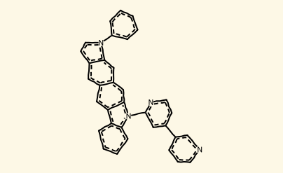 c1ccc(-n2ccc3cc4cc5c6ccccc6n(-c6cc(-c7cccnc7)ccn6)c5cc4cc32)cc1